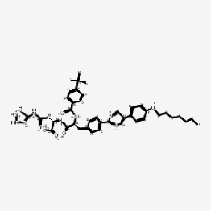 CCCCCCCOc1ccc(-c2cnc(-c3ccc(C[C@H](NC(=O)c4ccc(C(C)(C)C)cc4)C(=O)N[C@@H](CC(=O)NC4=NNNN4)C(=O)O)cc3)nc2)cc1